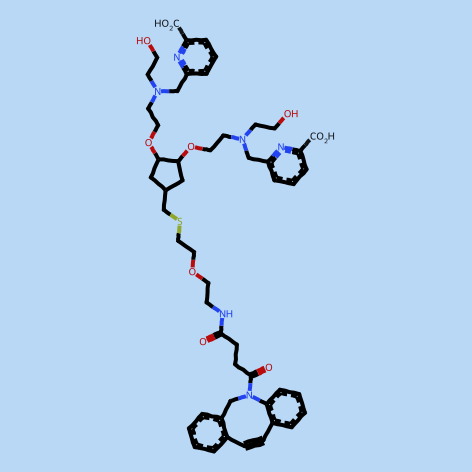 O=C(CCC(=O)N1Cc2ccccc2C#Cc2ccccc21)NCCOCCSCC1CC(OCCN(CCO)Cc2cccc(C(=O)O)n2)C(OCCN(CCO)Cc2cccc(C(=O)O)n2)C1